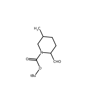 CC1CCC(C=O)N(C(=O)OC(C)(C)C)C1